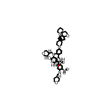 O=C(NS(=O)(=O)c1ccc(NCC2CCOCC2)c([N+](=O)[O-])c1)c1ccc(N2CCC3(CC2)CC(N2CCCC[C@]24CCOc2ccccc24)C3)cc1N1C[C@H]2CCOC[C@H]2Oc2nc3[nH]ccc3cc21